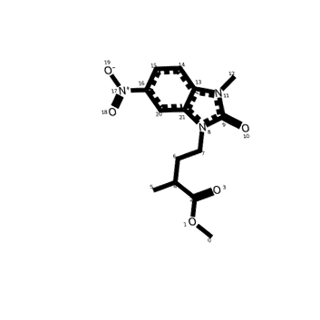 COC(=O)C(C)CCn1c(=O)n(C)c2ccc([N+](=O)[O-])cc21